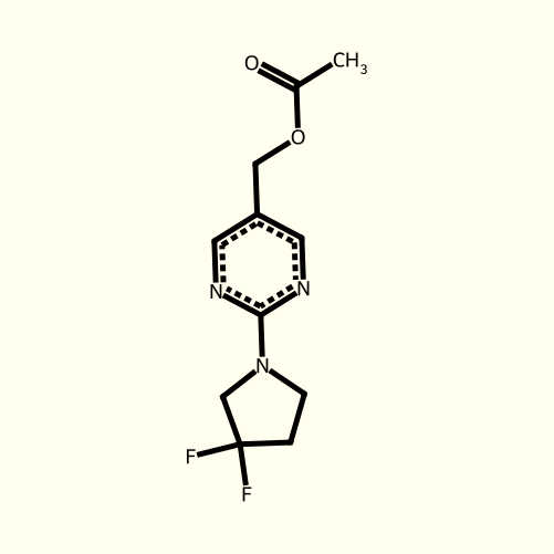 CC(=O)OCc1cnc(N2CCC(F)(F)C2)nc1